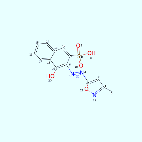 Cc1cc(/N=N/c2c(S(=O)(=O)O)cc3ccccc3c2O)on1